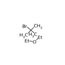 CC(C)(C)Br.CCOCC